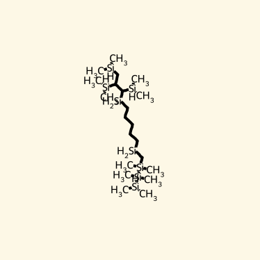 C[SiH](C)CC(C([SiH2]CCCCC[SiH2]C[Si](C)(C)[Si](C)(C)[SiH](C)C)[SiH](C)C)[SiH](C)C